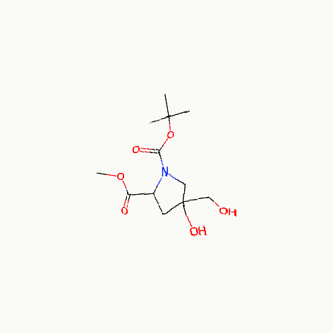 COC(=O)C1CC(O)(CO)CN1C(=O)OC(C)(C)C